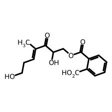 CC(=CCCO)C(=O)C(O)COC(=O)c1ccccc1C(=O)O